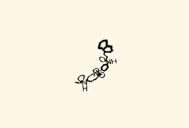 C=CC(=O)NC1CCCN(S(=O)(=O)c2ccc(NC(=O)CCc3cccc4ccccc34)cc2)CC1